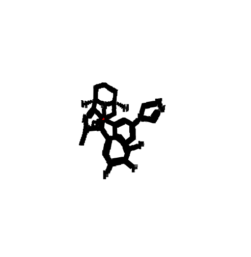 Cn1nc2c(c1-c1cc(F)c(F)c(F)c1)C[C@@H]1CCC[C@H]2N1C(=O)c1cc(F)cc(-n2cnnc2)c1